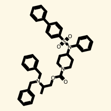 CC(COC(=O)N1CCC(N(c2ccccc2)S(=O)(=O)c2ccc(-c3ccccc3)cc2)CC1)N(Cc1ccccc1)Cc1ccccc1